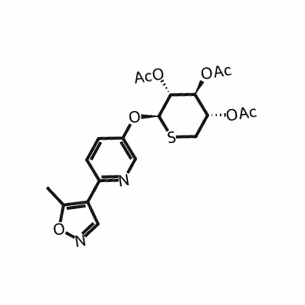 CC(=O)O[C@@H]1[C@@H](OC(C)=O)[C@H](OC(C)=O)CS[C@H]1Oc1ccc(-c2cnoc2C)nc1